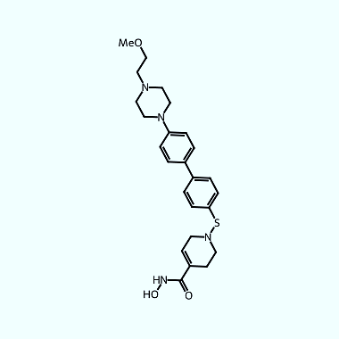 COCCN1CCN(c2ccc(-c3ccc(SN4CC=C(C(=O)NO)CC4)cc3)cc2)CC1